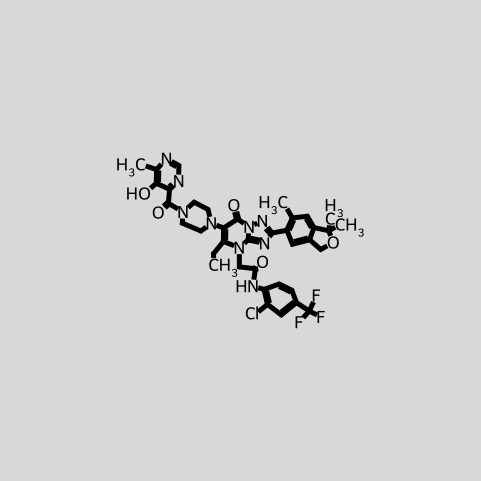 CCc1c(N2CCN(C(=O)c3ncnc(C)c3O)CC2)c(=O)n2nc(-c3cc4c(cc3C)C(C)(C)OC4)nc2n1CC(=O)Nc1ccc(C(F)(F)F)cc1Cl